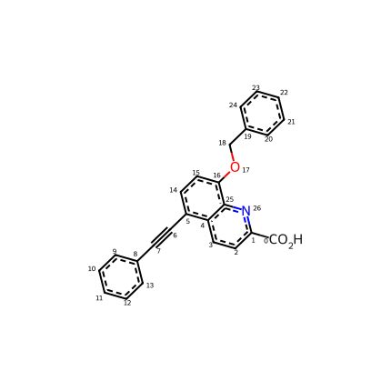 O=C(O)c1ccc2c(C#Cc3ccccc3)ccc(OCc3ccccc3)c2n1